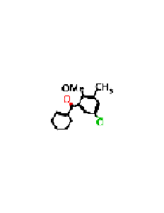 COc1c(C)cc(Cl)cc1C(=O)C1=CCCCC1